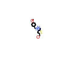 COc1ccc(Cn2ncc3sc(C=O)cc32)cc1